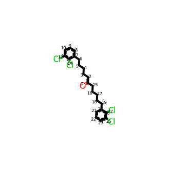 O=C(CCCCCc1cccc(Cl)c1Cl)CCCCCc1cccc(Cl)c1Cl